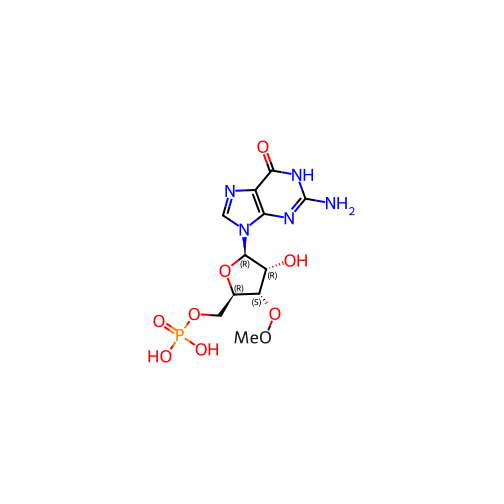 COO[C@H]1[C@@H](O)[C@H](n2cnc3c(=O)[nH]c(N)nc32)O[C@@H]1COP(=O)(O)O